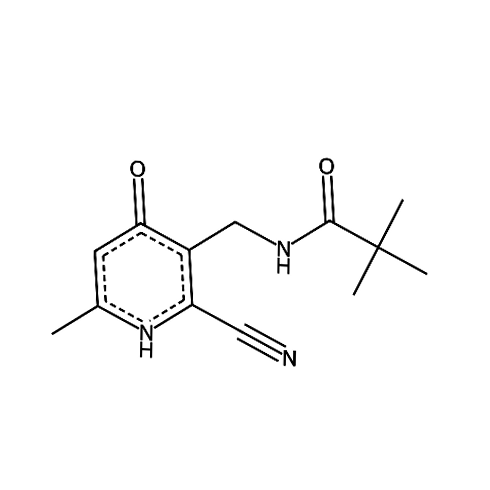 Cc1cc(=O)c(CNC(=O)C(C)(C)C)c(C#N)[nH]1